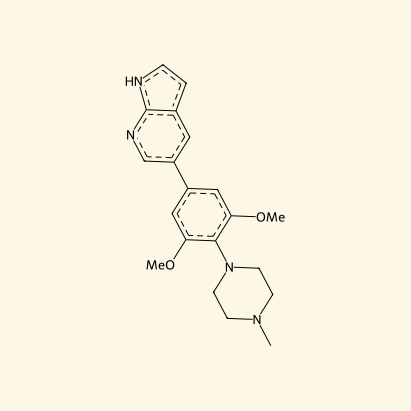 COc1cc(-c2cnc3[nH]ccc3c2)cc(OC)c1N1CCN(C)CC1